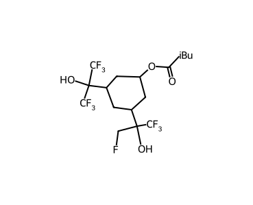 CCC(C)C(=O)OC1CC(C(O)(CF)C(F)(F)F)CC(C(O)(C(F)(F)F)C(F)(F)F)C1